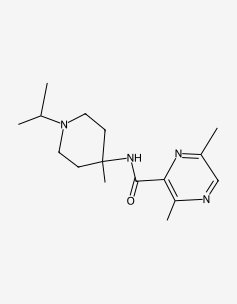 Cc1cnc(C)c(C(=O)NC2(C)CCN(C(C)C)CC2)n1